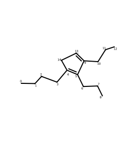 CCCCC1=C(CCC)C(CCC)=[C]C1